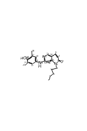 CCCCCn1c(=O)ccc2cnc(Nc3cc(C)c(O)c(C)c3)nc21